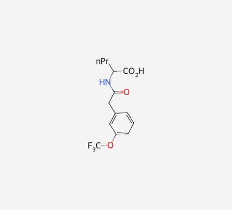 CCCC(NC(=O)Cc1cccc(OC(F)(F)F)c1)C(=O)O